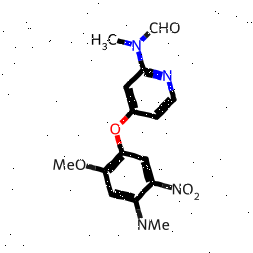 CNc1cc(OC)c(Oc2ccnc(N(C)C=O)c2)cc1[N+](=O)[O-]